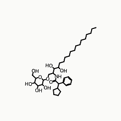 CCCCCCCCCCCCCCC(O)C(O)C(COC1OC(CO)C(O)C(O)C1O)NC(=O)C(c1ccccc1)C1CCCC1